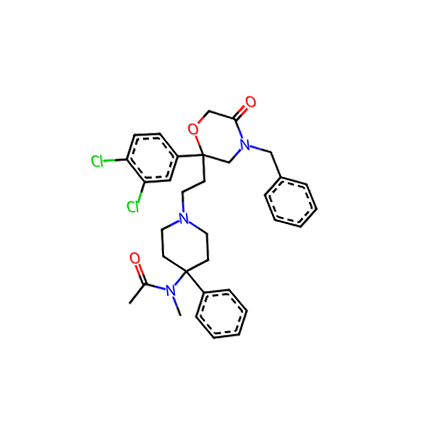 CC(=O)N(C)C1(c2ccccc2)CCN(CCC2(c3ccc(Cl)c(Cl)c3)CN(Cc3ccccc3)C(=O)CO2)CC1